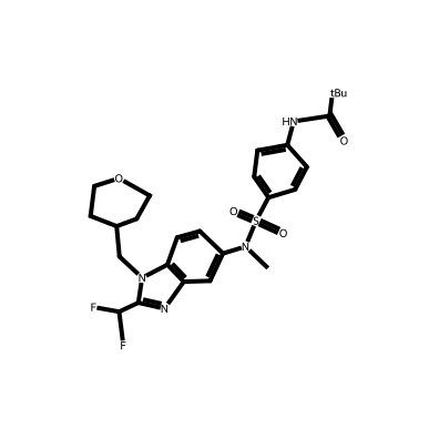 CN(c1ccc2c(c1)nc(C(F)F)n2CC1CCOCC1)S(=O)(=O)c1ccc(NC(=O)C(C)(C)C)cc1